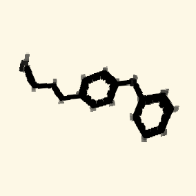 ClCCCc1ccc(Oc2ccccc2)cc1